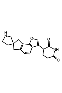 O=C1CCC(c2coc3c4c(ccc23)CC2(CCNC2)C4)C(=O)N1